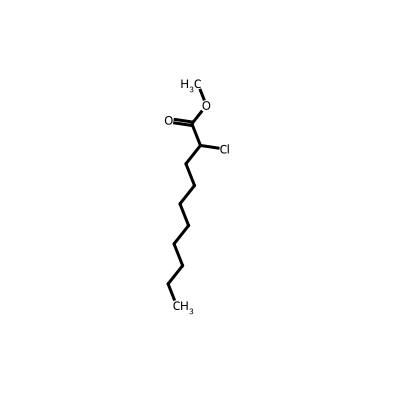 CCCCCCCCC(Cl)C(=O)OC